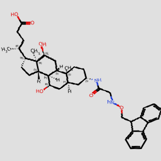 C[C@H](CCC(=O)O)[C@H]1CC[C@H]2[C@@H]3[C@H](O)C[C@@H]4C[C@@H](NC(=O)CNOCC5c6ccccc6-c6ccccc65)CC[C@]4(C)[C@H]3C[C@H](O)[C@]12C